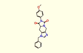 COc1ccc(N2C(=O)C3Cc4c(ncn4Cc4ccccc4)CN3C2=O)cc1